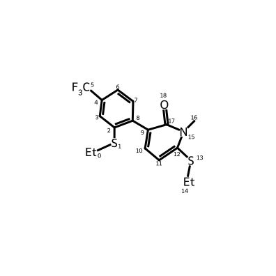 CCSc1cc(C(F)(F)F)ccc1-c1ccc(SCC)n(C)c1=O